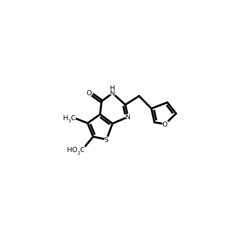 Cc1c(C(=O)O)sc2nc(Cc3ccoc3)[nH]c(=O)c12